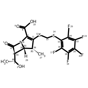 C[C@@H](O)[C@H]1C(=O)N2C(C(=O)O)=C(SCSc3c(F)c(F)c(F)c(F)c3F)[C@H](C)[C@H]12